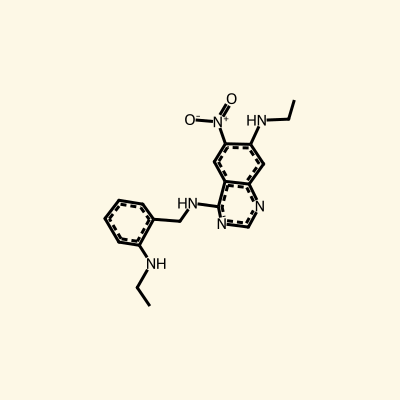 CCNc1ccccc1CNc1ncnc2cc(NCC)c([N+](=O)[O-])cc12